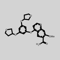 COc1cc2nccc(Oc3cc(OC4CCOC4)cc(OC4CCOC4)c3)c2cc1C(N)=O